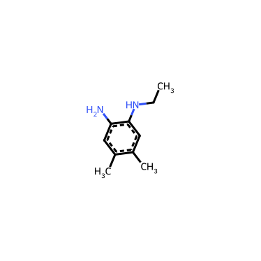 CCNc1cc(C)c(C)cc1N